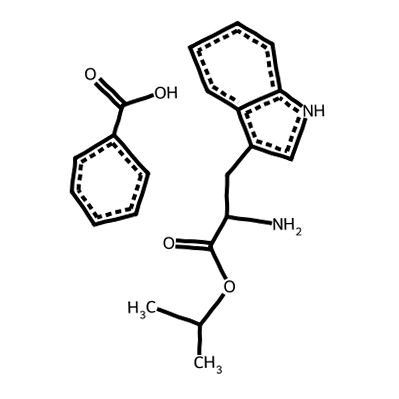 CC(C)OC(=O)C(N)Cc1c[nH]c2ccccc12.O=C(O)c1ccccc1